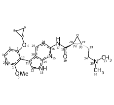 COc1nccc(OC2CC2)c1-c1c[nH]c2nc(NC(=O)[C@H]3C[C@@H]3CCN(C)C)ccc12